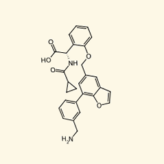 NCc1cccc(-c2cc(COc3ccccc3[C@H](NC(=O)C3CC3)C(=O)O)cc3ccoc23)c1